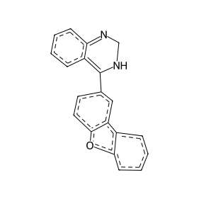 c1ccc2c(c1)=NCNC=2c1ccc2oc3ccccc3c2c1